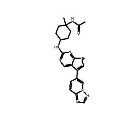 CC(=O)NC1(C)CCC(Nc2ncc3c(-c4ccc5ncnn5c4)c[nH]c3n2)CC1